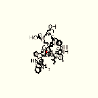 CC[C@H](C)[C@H](NC(=O)[C@H](CC(C)C)NC(=S)Nc1ccc(CN2CCN(CC(=O)O)CCN(CC(=O)O)CCN(CC(=O)O)CC2)cc1)C(=O)N[C@@H](CCCCN)C(=O)N[C@@H](CCCCN)C(=O)N1CCC[C@H]1C(=O)N[C@@H](Cc1ccccc1)C(=O)O